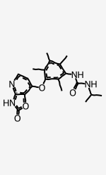 Cc1c(C)c(NC(=O)NC(C)C)c(C)c(Oc2ccnc3[nH]c(=O)oc23)c1C